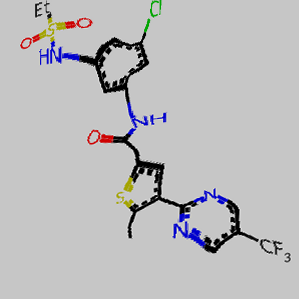 CCS(=O)(=O)Nc1cc(Cl)cc(NC(=O)c2cc(-c3ncc(C(F)(F)F)cn3)c(C)s2)c1